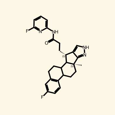 C[C@]12CCC3c4ccc(F)cc4CCC3C1[C@H](CCC(=O)Nc1cccc(F)n1)c1c[nH]nc12